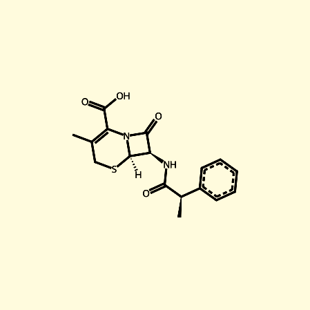 CC1=C(C(=O)O)N2C(=O)[C@@H](NC(=O)[C@H](C)c3ccccc3)[C@H]2SC1